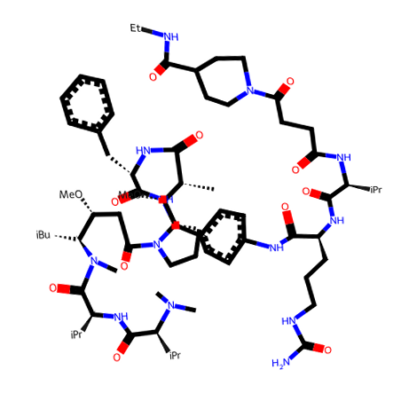 CCNC(=O)C1CCN(C(=O)CCC(=O)N[C@H](C(=O)N[C@@H](CCCNC(N)=O)C(=O)Nc2ccc(CNC(=O)[C@H](Cc3ccccc3)NC(=O)[C@H](C)[C@@H](OC)[C@@H]3CCCN3C(=O)C[C@@H](OC)[C@H]([C@@H](C)CC)N(C)C(=O)[C@@H](NC(=O)[C@H](C(C)C)N(C)C)C(C)C)cc2)C(C)C)CC1